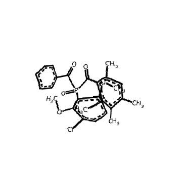 COc1ccc(Cl)c(OC)c1P(=O)(C(=O)c1ccccc1)C(=O)c1c(C)cc(C)c(C)c1C